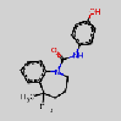 CC1(C)CCCN(C(=O)Nc2ccc(O)cc2)c2ccccc21